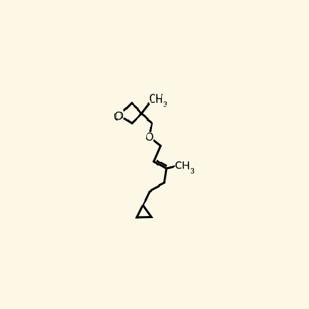 C/C(=C\COCC1(C)COC1)CCC1CC1